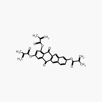 C=C(C)C(=O)Oc1cc(OC(=O)C(=C)C)c2c(c1)C(=O)c1cc3ccc(OC(=O)C(=C)C)cc3cc1C2=O